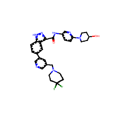 O=C(Nc1ccc(N2CCC(O)CC2)nc1)c1n[nH]c2ccc(-c3cncc(CN4CCC(F)(F)CC4)c3)cc12